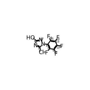 Oc1nc(Cl)n(-c2c(F)c(F)c(F)c(F)c2F)n1